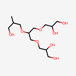 CC(CO)COC(COCC(O)CO)COCC(O)CO